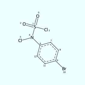 O=S(=O)(Cl)N(Cl)c1ccc(Br)cc1